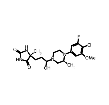 COc1cc(N2CCN(C(O)CC[C@@]3(C)NC(=O)NC3=O)C[C@@H]2C)cc(F)c1Cl